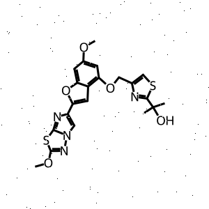 COc1cc(OCc2csc(C(C)(C)O)n2)c2cc(-c3cn4nc(OC)sc4n3)oc2c1